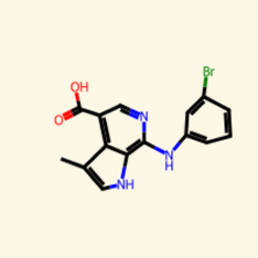 Cc1c[nH]c2c(Nc3cccc(Br)c3)ncc(C(=O)O)c12